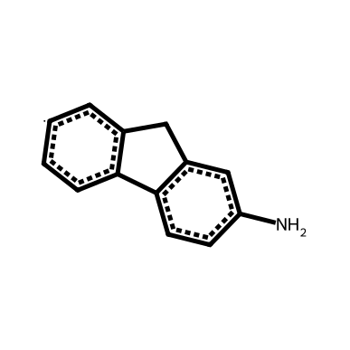 Nc1ccc2c(c1)Cc1c[c]ccc1-2